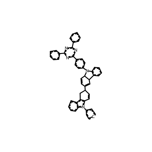 C1=CC2C(C=C1C1C=Cc3c(c4ccccc4n3-c3ccccc3)C1)c1ccccc1N2c1ccc(-c2nc(-c3ccccc3)nc(-c3ccccc3)n2)cc1